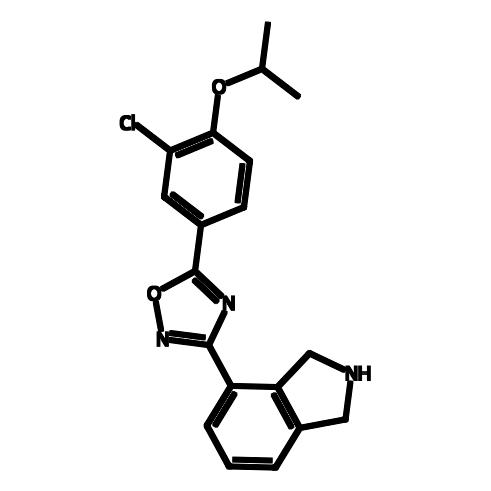 CC(C)Oc1ccc(-c2nc(-c3cccc4c3CNC4)no2)cc1Cl